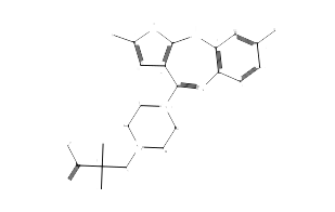 CC(=O)C(C)(C)CN1CCN(C2=Nc3ccc(C)cc3Oc3sc(Cl)cc32)CC1